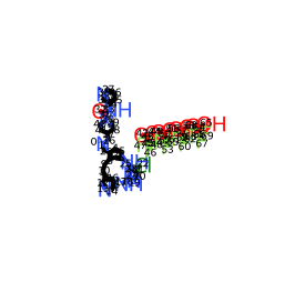 CN(Cc1ccc2cc1CCc1cncc(c1)Nc1ncc(Cl)c(n1)N2)CC1CCN(C(=O)Nc2cccnc2)CC1.O=C(O)C(F)(F)F.O=C(O)C(F)(F)F.O=C(O)C(F)(F)F.O=C(O)C(F)(F)F